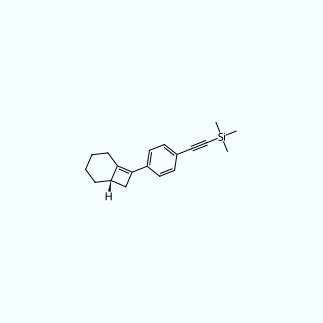 C[Si](C)(C)C#Cc1ccc(C2=C3CCCC[C@H]3C2)cc1